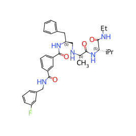 CCNC(=O)[C@@H](NC(=O)[C@H](C)NC[C@H](Cc1ccccc1)NC(=O)c1cccc(C(=O)NCc2cccc(F)c2)c1)C(C)C